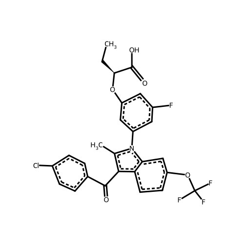 CC[C@H](Oc1cc(F)cc(-n2c(C)c(C(=O)c3ccc(Cl)cc3)c3ccc(OC(F)(F)F)cc32)c1)C(=O)O